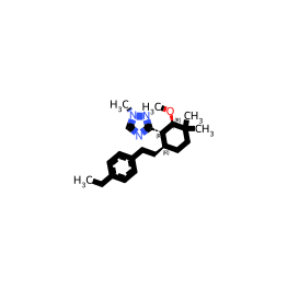 CCc1ccc(CC[C@@H]2CCC(C)(C)[C@H](OC)[C@H]2c2ncn(C)n2)cc1